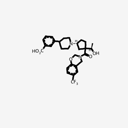 C[C@@H](O)C1(C(=O)N2COc3ccc(C(F)(F)F)cc3C2)CC[C@@H](N2CCC(c3cccc(C(=O)O)c3)CC2)C1